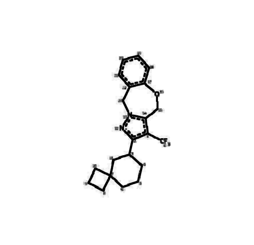 FC(F)(F)c1c(C2CCCC3(CCC3)C2)nn2c1COc1ccccc1C2